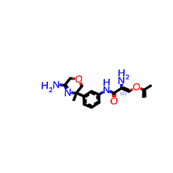 C=C(C)O/C=C(\N)C(=O)Nc1cccc(C2(C)COCC(N)=N2)c1